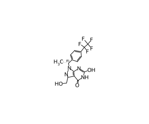 C[C@H](c1ccc(C(F)(F)C(F)(F)F)cc1)n1nc(CO)c2c(=O)[nH]c(O)nc21